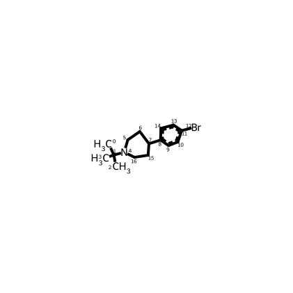 CC(C)(C)N1CCC(c2ccc(Br)cc2)CC1